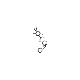 COc1cc2c(cc1C)C(=O)C(CC1CCN(Cc3ccccc3)CC1)C2